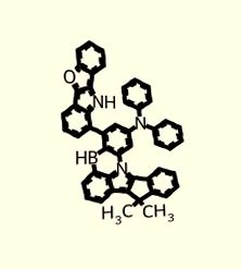 CC1(C)c2ccccc2-c2c1c1cccc3c1n2-c1cc(N(c2ccccc2)c2ccccc2)cc(-c2cccc4c2[nH]c2c5ccccc5oc42)c1B3